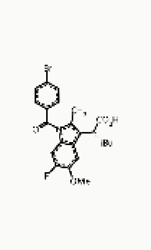 CC[C@@H](C)C(C(=O)O)c1c(C)n(C(=O)c2ccc(Br)cc2)c2cc(F)c(OC)cc12